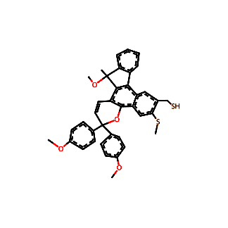 COc1ccc(C2(c3ccc(OC)cc3)C=Cc3c4c(c5cc(CS)c(SC)cc5c3O2)-c2ccccc2C4(C)OC)cc1